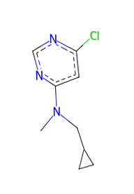 CN(CC1CC1)c1cc(Cl)ncn1